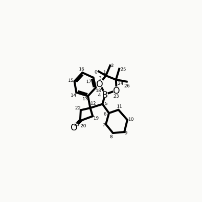 CC1(C)OB(C(C2CCCCC2)C2(c3ccccc3)CC(=O)C2)OC1(C)C